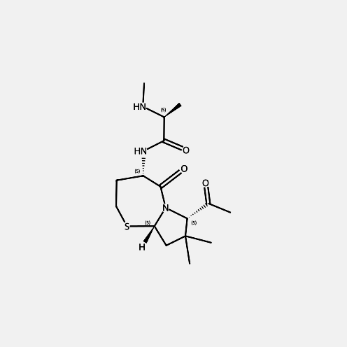 CN[C@@H](C)C(=O)N[C@H]1CCS[C@H]2CC(C)(C)[C@@H](C(C)=O)N2C1=O